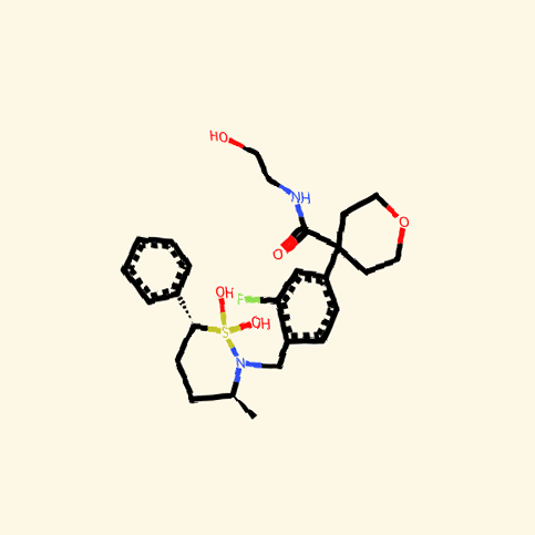 C[C@H]1CC[C@H](c2ccccc2)S(O)(O)N1Cc1ccc(C2(C(=O)NCCO)CCOCC2)cc1F